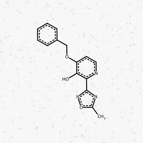 Cc1nc(-c2nccc(OCc3ccccc3)c2O)no1